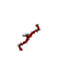 C=CC(=O)OCC(C)(C)COC(=O)CCC(=O)OCCc1ccc(CC(=O)C2CCC(C(=O)Oc3ccc(OC(=O)C4CCC(C(=O)Cc5ccc(CCOC(=O)CCC(=O)OCC(C)(C)COC(=O)C=C)cc5)CC4)c4c3SC(=C(C#N)C#N)S4)CC2)cc1